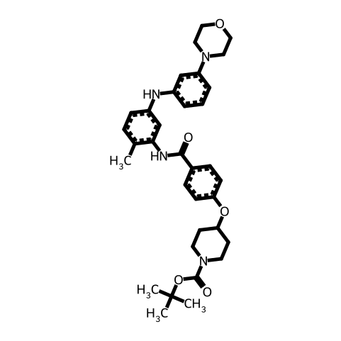 Cc1ccc(Nc2cccc(N3CCOCC3)c2)cc1NC(=O)c1ccc(OC2CCN(C(=O)OC(C)(C)C)CC2)cc1